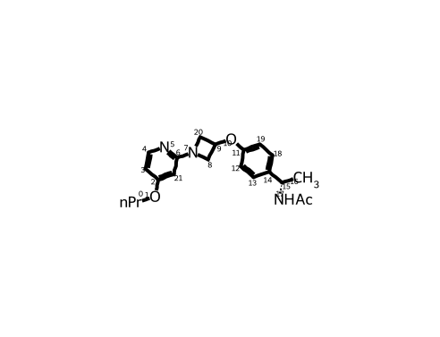 CCCOc1ccnc(N2CC(Oc3ccc([C@H](C)NC(C)=O)cc3)C2)c1